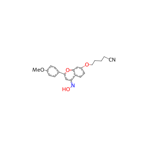 COc1ccc(-c2c/c(=N\O)c3ccc(OCCCCC#N)cc3o2)cc1